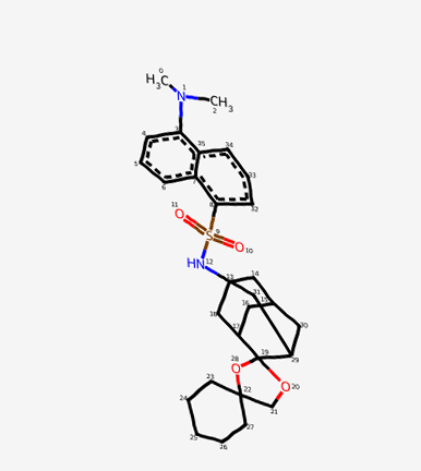 CN(C)c1cccc2c(S(=O)(=O)NC34CC5CC(C3)C3(OCC6(CCCCC6)O3)C(C5)C4)cccc12